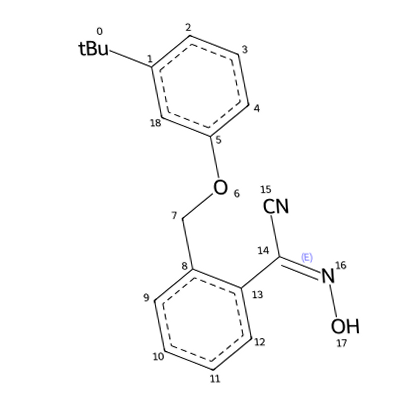 CC(C)(C)c1cccc(OCc2ccccc2/C(C#N)=N\O)c1